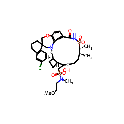 COCCN(C)S(=O)(=O)C[C@]1(O)CCC[C@H](C)[C@@H](C)S(=O)(=O)NC(=O)c2ccc3c(c2)N(C[C@@H]2CC[C@H]21)C[C@@]1(CCCc2cc(Cl)ccc21)CO3